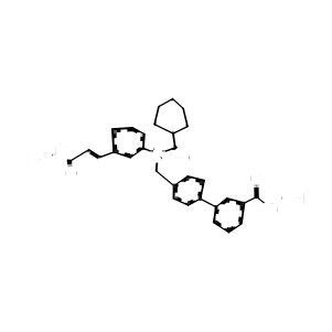 COC(=O)/C=C/c1cccc(N(Cc2ccc(-c3cccc(C(=O)OC)c3)cc2)C(=O)C2CCCCC2)c1